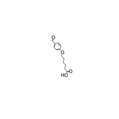 O=[C]c1ccc(OCCCCCC(=O)O)cc1